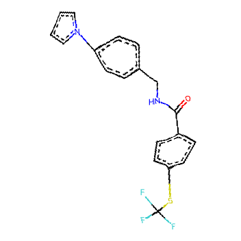 O=C(NCc1ccc(-n2cccc2)cc1)c1ccc(SC(F)(F)F)cc1